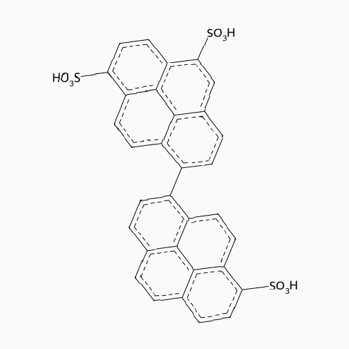 O=S(=O)(O)c1ccc2ccc3ccc(-c4ccc5cc(S(=O)(=O)O)c6ccc(S(=O)(=O)O)c7ccc4c5c76)c4ccc1c2c34